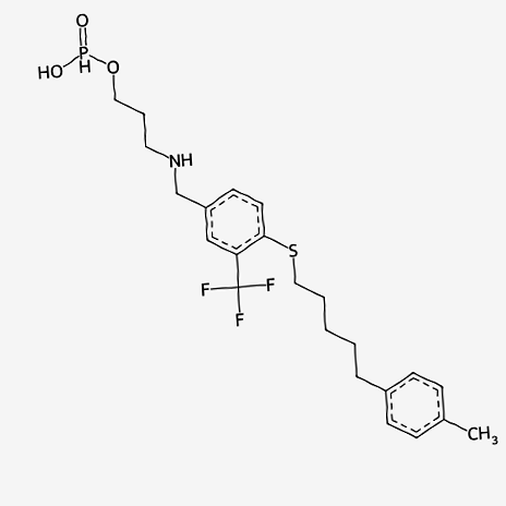 Cc1ccc(CCCCCSc2ccc(CNCCCO[PH](=O)O)cc2C(F)(F)F)cc1